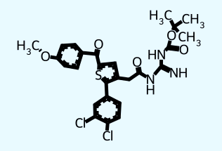 COc1ccc(C(=O)c2cc(CC(=O)NC(=N)NC(=O)OC(C)(C)C)c(-c3ccc(Cl)c(Cl)c3)s2)cc1